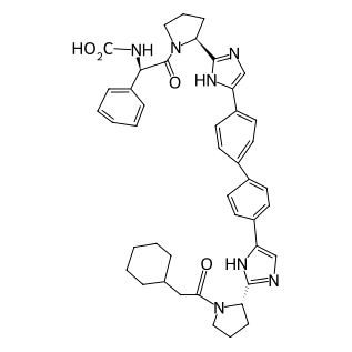 O=C(O)N[C@@H](C(=O)N1CCC[C@H]1c1ncc(-c2ccc(-c3ccc(-c4cnc([C@@H]5CCCN5C(=O)CC5CCCCC5)[nH]4)cc3)cc2)[nH]1)c1ccccc1